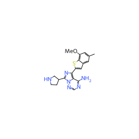 COc1cc(C)cc2cc(-c3nc(C4CCNC4)n4ncnc(N)c34)sc12